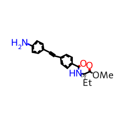 CC[C@H](NC(=O)c1ccc(C#Cc2ccc(N)cc2)cc1)C(=O)OC